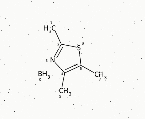 B.Cc1nc(C)c(C)s1